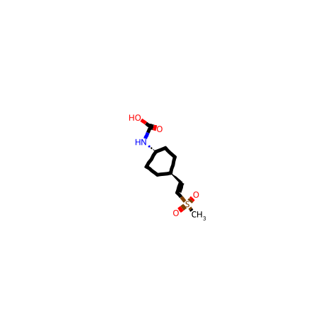 CS(=O)(=O)/C=C/[C@H]1CC[C@H](NC(=O)O)CC1